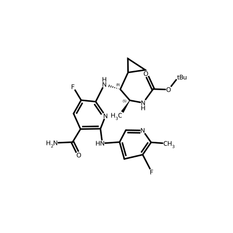 Cc1ncc(Nc2nc(N[C@H](C3CC3)[C@H](C)NC(=O)OC(C)(C)C)c(F)cc2C(N)=O)cc1F